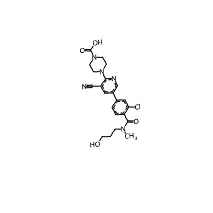 CN(CCCO)C(=O)c1ccc(-c2cnc(N3CCN(C(=O)O)CC3)c(C#N)c2)cc1Cl